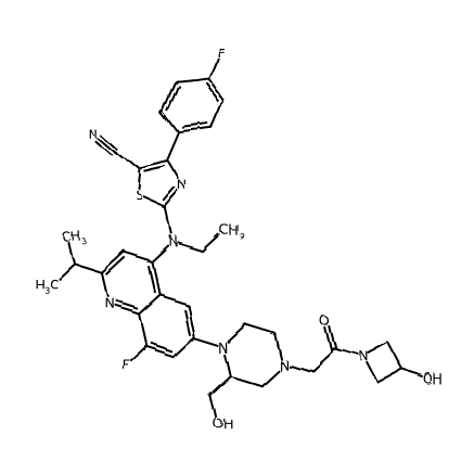 CCN(c1nc(-c2ccc(F)cc2)c(C#N)s1)c1cc(C(C)C)nc2c(F)cc(N3CCN(CC(=O)N4CC(O)C4)CC3CO)cc12